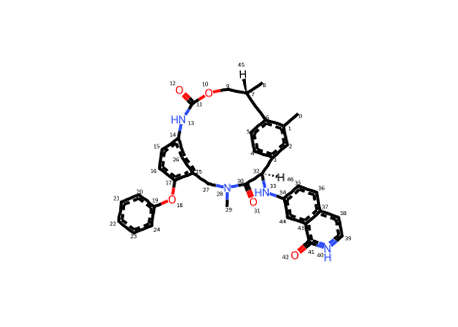 Cc1cc2ccc1[C@@H](C)COC(=O)Nc1ccc(Oc3ccccc3)c(c1)CN(C)C(=O)[C@@H]2Nc1ccc2cc[nH]c(=O)c2c1